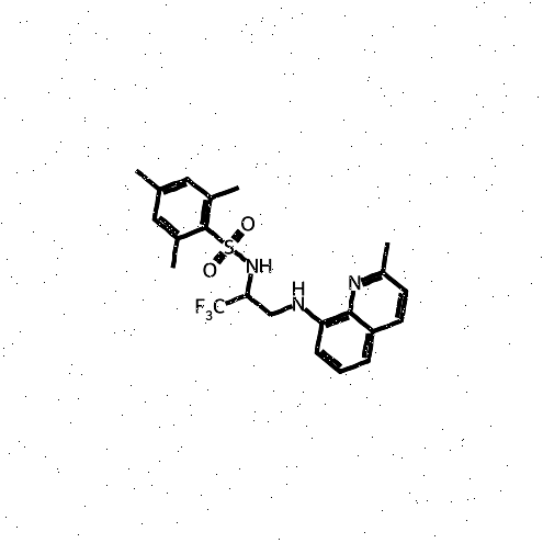 Cc1cc(C)c(S(=O)(=O)NC(CNc2cccc3ccc(C)nc23)C(F)(F)F)c(C)c1